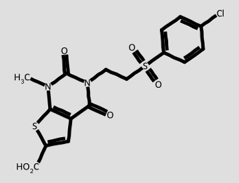 Cn1c(=O)n(CCS(=O)(=O)c2ccc(Cl)cc2)c(=O)c2cc(C(=O)O)sc21